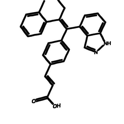 CC/C(=C(/c1ccc(/C=C/C(=O)O)cc1)c1cccc2[nH]ncc12)c1ccccc1C